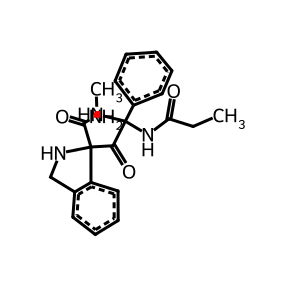 CCC(=O)NC(NC)(C(=O)C1(C(N)=O)NCc2ccccc21)c1ccccc1